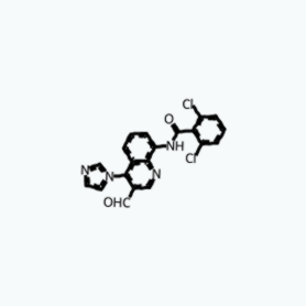 O=Cc1cnc2c(NC(=O)c3c(Cl)cccc3Cl)cccc2c1-n1ccnc1